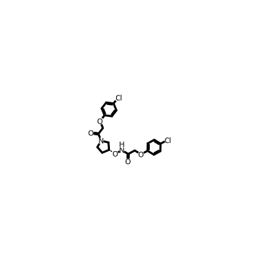 O=C(COc1ccc(Cl)cc1)NO[C@@H]1CCN(C(=O)COc2ccc(Cl)cc2)C1